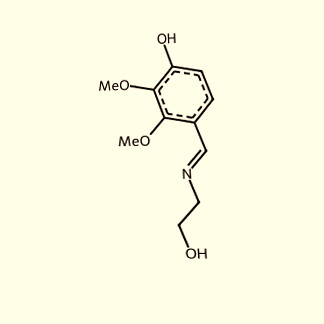 COc1c(O)ccc(C=NCCO)c1OC